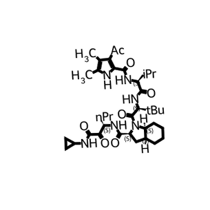 CCC[C@H](NC(=O)[C@@H]1C[C@@H]2CCCC[C@@H]2N1C(=O)[C@@H](NC(=O)[C@@H](NC(=O)c1[nH]c(C)c(C)c1C(C)=O)C(C)C)C(C)(C)C)C(=O)C(=O)NC1CC1